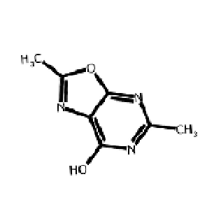 Cc1nc(O)c2nc(C)oc2n1